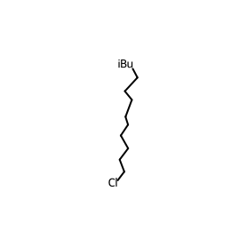 CCC(C)CCCCCCCCCCl